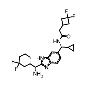 N[C@H](c1nc2ccc([C@H](NC(=O)CC3CC(F)(F)C3)C3CC3)cc2[nH]1)[C@H]1CCCC(F)(F)C1